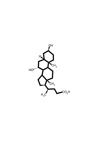 C[C@H](CCC(=O)O)[C@H]1CCC2C3C(CC[C@@]21C)[C@@]1(C)CC[C@H](O)C[C@H]1C[C@H]3O